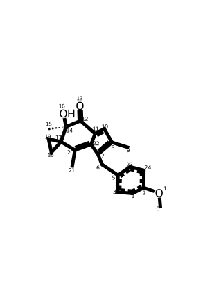 COc1ccc(CC2=C(C)C=C3C(=O)[C@](C)(O)C4(CC4)C(C)=C32)cc1